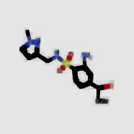 COC(=O)c1ccc(S(=O)(=O)NCc2ccn(C)n2)c(N)c1